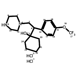 Cl.Cl.OC1(C(CN2CCNCC2)c2ccc(OC(F)(F)F)cc2)CCCCC1